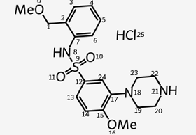 COCc1ccccc1NS(=O)(=O)c1ccc(OC)c(N2CCNCC2)c1.Cl